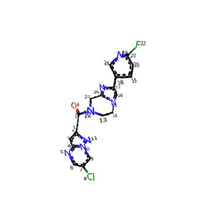 O=C(c1cc2ncc(Cl)cn2n1)N1CCn2cc(-c3ccc(F)nc3)nc2C1